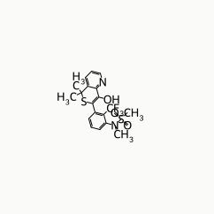 CN(c1cccc(C2=C(O)c3ncccc3C(C)(C)S2)c1C(F)(F)F)S(C)(=O)=O